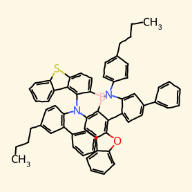 CCCCc1ccc(N2B3c4ccc5sc6ccccc6c5c4N(c4ccc(CCCC)cc4-c4ccccc4)c4cc5c(oc6ccccc65)c(c43)-c3ccc(-c4ccccc4)cc32)cc1